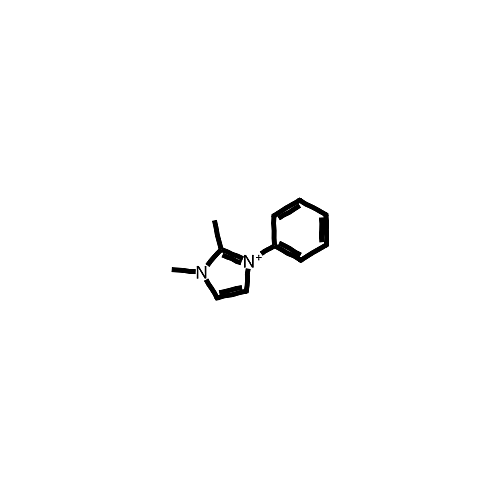 Cc1n(C)cc[n+]1-c1ccccc1